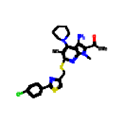 COC(=O)c1c(N)c2c(N3CCCCC3)c(C#N)c(SCc3csc(-c4ccc(Cl)cc4)n3)nc2n1C